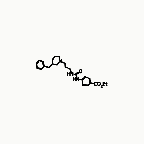 CCOC(=O)c1ccc(NC(=O)NCCCN2CCCC(Cc3ccccc3)C2)cc1